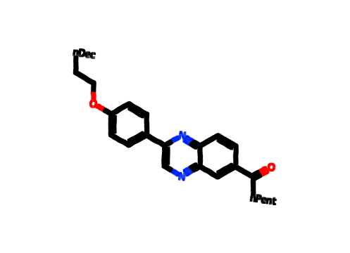 CCCCCCCCCCCCOc1ccc(-c2cnc3cc(C(=O)CCCCC)ccc3n2)cc1